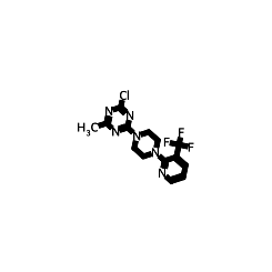 Cc1nc(Cl)nc(N2CCN(c3ncccc3C(F)(F)F)CC2)n1